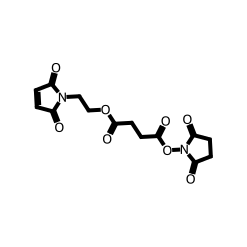 O=C(CCC(=O)ON1C(=O)CCC1=O)OCCN1C(=O)C=CC1=O